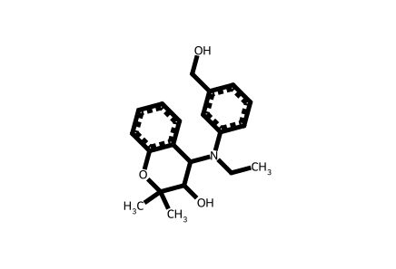 CCN(c1cccc(CO)c1)C1c2ccccc2OC(C)(C)C1O